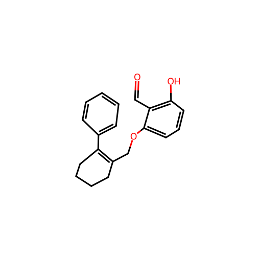 O=Cc1c(O)cccc1OCC1=C(c2ccccc2)CCCC1